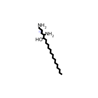 CCCCCCCCCCCCCCCC(O)C(N)/C=C/CN